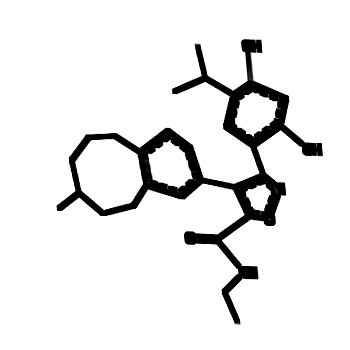 CCNC(=O)c1onc(-c2cc(C(C)C)c(O)cc2O)c1-c1ccc2c(c1)CCC(C)CCC2